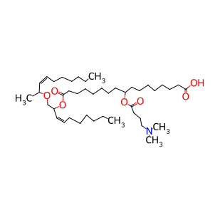 CCCCCC/C=C\C(C)OCC(/C=C\CCCCCC)OC(=O)CCCCCCCC(CCCCCCCC(=O)O)OC(=O)CCCN(C)C